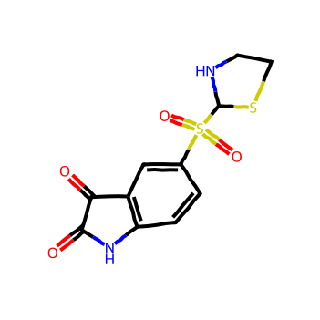 O=C1Nc2ccc(S(=O)(=O)C3NCCS3)cc2C1=O